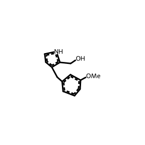 COc1cccc(Cc2cc[nH]c2CO)c1